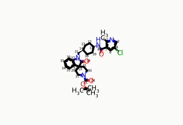 Cc1ncc(Cl)cc1C(=O)N[C@H]1CC[C@H](CN2C(=O)C3(CCN(C(=O)OC(C)(C)C)CC3)c3ccccc32)CC1